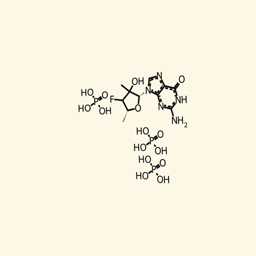 C[C@H]1O[C@@H](n2cnc3c(=O)[nH]c(N)nc32)C(C)(O)C1F.O=P(O)(O)O.O=P(O)(O)O.O=P(O)(O)O